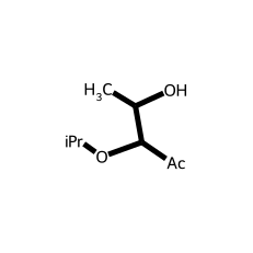 CC(=O)C(OC(C)C)C(C)O